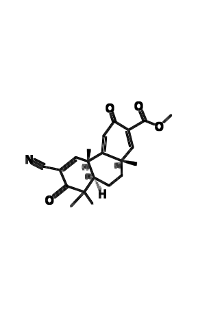 COC(=O)C1=C[C@]2(C)CC[C@H]3C(C)(C)C(=O)C(C#N)=C[C@]3(C)C2=CC1=O